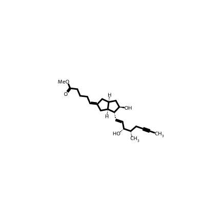 CC#CC[C@H](C)[C@H](O)/C=C/[C@@H]1[C@H]2C/C(=C/CCCC(=O)OC)C[C@H]2C[C@H]1O